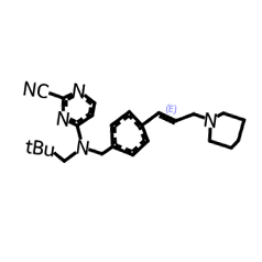 CC(C)(C)CN(Cc1ccc(/C=C/CN2CCCCC2)cc1)c1ccnc(C#N)n1